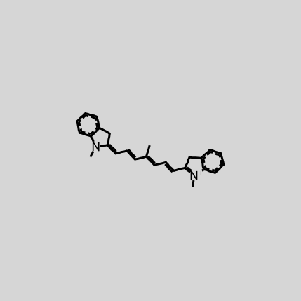 CC(/C=C/C=C1\Cc2ccccc2N1C)=C\C=C\C1=[N+](C)c2ccccc2C1